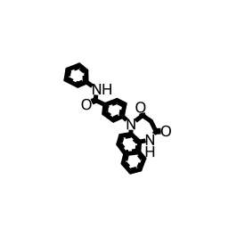 O=C1CC(=O)N(c2ccc(C(=O)Nc3ccccc3)cc2)c2ccc3ccccc3c2N1